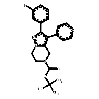 CC(C)(C)OC(=O)N1CCn2nc(-c3cccc(F)c3)c(-c3ccncc3)c2C1